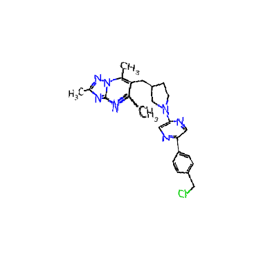 Cc1nc2nc(C)c(CC3CCN(c4cnc(-c5ccc(CCl)cc5)cn4)C3)c(C)n2n1